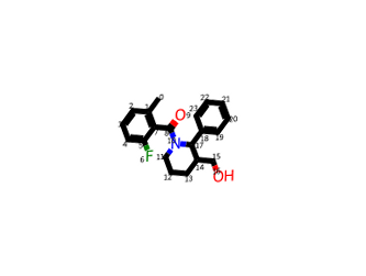 Cc1cccc(F)c1C(=O)N1CCCC(CO)C1c1ccccc1